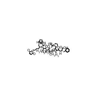 CC[C@H](C)[C@@H]([C@@H](CC(=O)N1CCC[C@H]1[C@H](OC)[C@@H](C)C(=O)N[C@@H](Cc1ccccc1)C(=O)O)OC)N(C)C(=O)[C@@H](NC(=O)[C@@H]1[C@H]2CC[C@H](C2)N1CCCCCCN1C(=O)C=CC1=O)C(C)C